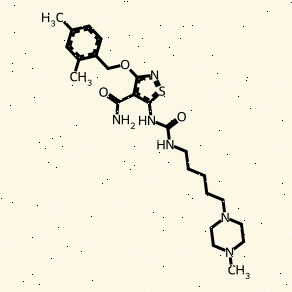 Cc1ccc(COc2nsc(NC(=O)NCCCCCN3CCN(C)CC3)c2C(N)=O)c(C)c1